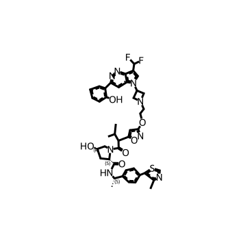 Cc1ncsc1-c1ccc([C@H](C)NC(=O)[C@@H]2C[C@@H](O)CN2C(=O)C(c2cc(OCCN3CC(n4cc(C(F)F)c5nnc(-c6ccccc6O)cc54)C3)no2)C(C)C)cc1